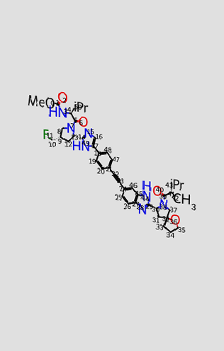 COC(=O)N[C@H](C(=O)N1C[C@@H](CF)C[C@H]1c1ncc(-c2ccc(C#Cc3ccc4nc([C@@H]5C[C@@]6(CCCO6)CN5C(=O)[C@@H](C)C(C)C)[nH]c4c3)cc2)[nH]1)C(C)C